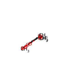 COCCOCCOCCOCCCCCCCCCCC[Si](OC)(OC)OC